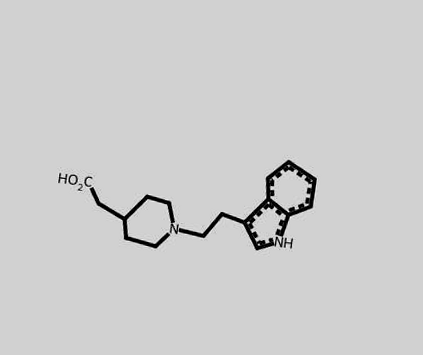 O=C(O)CC1CCN(CCc2c[nH]c3ccccc23)CC1